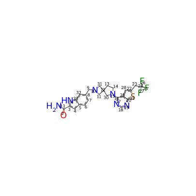 NC(=O)c1cc2ccc(CN3CC4(CCN(c5ncnc6sc(CC(F)(F)F)cc56)C4)C3)cc2[nH]1